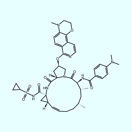 C[C@@H]1CC/C=C\[C@@H]2C[C@@]2(C(=O)NS(=O)(=O)C2CC2)NC(=O)[C@@H]2C[C@@H](Oc3nccc4c5c(ccc34)N(C)CCO5)CN2C(=O)[C@@H](NC(=O)c2ccc(N(C)C)cc2)[C@H](C)C1